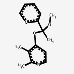 COC(C)(Oc1ccnc(C)c1C)c1ccccn1